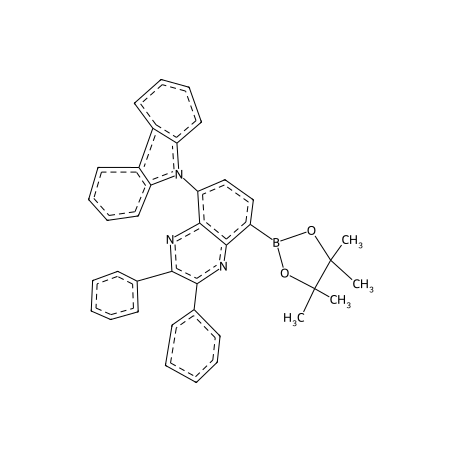 CC1(C)OB(c2ccc(-n3c4ccccc4c4ccccc43)c3nc(-c4ccccc4)c(-c4ccccc4)nc23)OC1(C)C